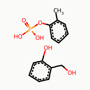 Cc1ccccc1OP(=O)(O)O.OCc1ccccc1O